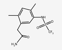 Cc1cc(C)c(NS(=O)(=O)C(F)(F)F)cc1CC(N)=O